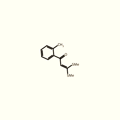 CSC(=CC(=O)c1ccccc1C)SC